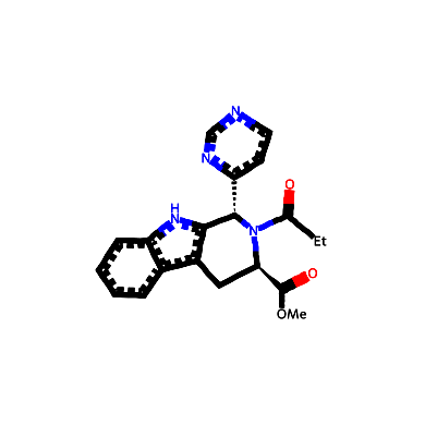 CCC(=O)N1[C@@H](c2ccncn2)c2[nH]c3ccccc3c2C[C@@H]1C(=O)OC